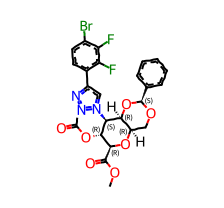 COC(=O)[C@@H]1O[C@@H]2CO[C@H](c3ccccc3)O[C@@H]2[C@H](n2cc(-c3ccc(Br)c(F)c3F)nn2)[C@H]1OC(C)=O